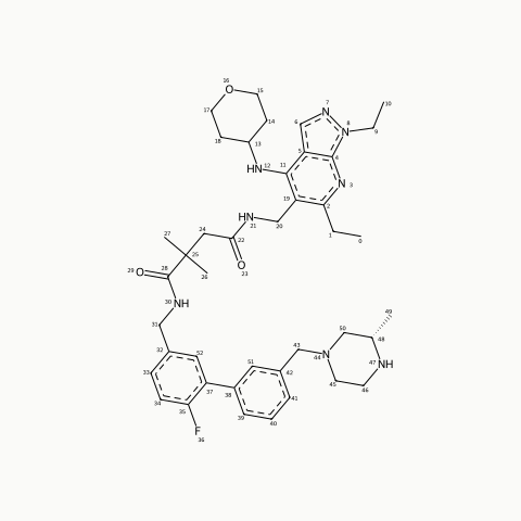 CCc1nc2c(cnn2CC)c(NC2CCOCC2)c1CNC(=O)CC(C)(C)C(=O)NCc1ccc(F)c(-c2cccc(CN3CCN[C@@H](C)C3)c2)c1